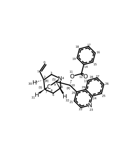 C=C[C@H]1CN2CC[C@H]1C[C@H]2[C@H](OC(=O)c1ccccc1)c1ccnc2ccccc12